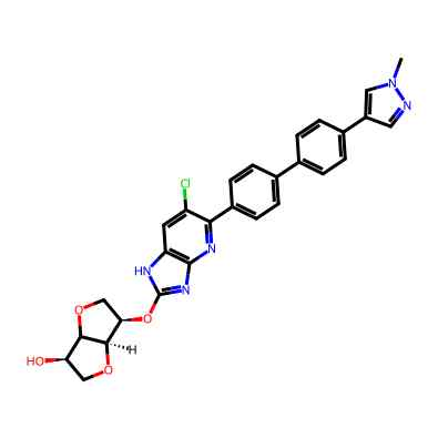 Cn1cc(-c2ccc(-c3ccc(-c4nc5nc(O[C@@H]6COC7[C@H](O)CO[C@@H]76)[nH]c5cc4Cl)cc3)cc2)cn1